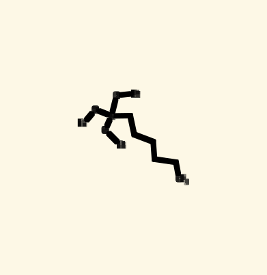 CCO[Si](CCCCCC(F)(F)F)(OCC)OCC